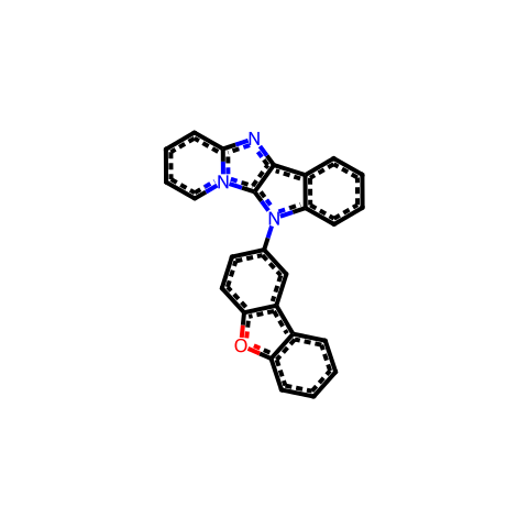 c1ccc2c(c1)oc1ccc(-n3c4ccccc4c4nc5ccccn5c43)cc12